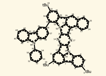 CC(C)(C)c1ccc2c(c1)c1cc(C(C)(C)C)cc3c4nc5c(nc4n2c13)c1c2ccccc2cc2c3cc(C(C)(C)C)cc(-c4ccc6c(c4)c4ccccc4n6-c4ccccc4)c3n5c21